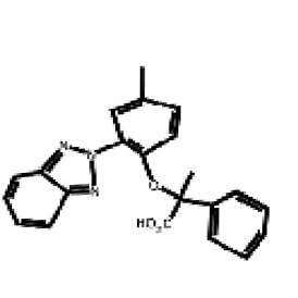 Cc1ccc(OC(C)(C(=O)O)c2ccccc2)c(-n2nc3ccccc3n2)c1